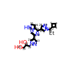 CC[C@@H](C1CCC1)n1cc(C2=NC(c3cnn(C[C@@H](O)CO)c3)=CN3NCC=C23)cn1